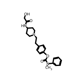 CN(C(=O)Oc1ccc(CCN2CCC(NC(=O)CO)CC2)cc1)c1ccccc1